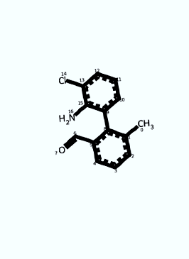 Cc1cccc(C=O)c1-c1cccc(Cl)c1N